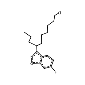 CCCC(CCCCCCCl)c1noc2cc(F)ccc12